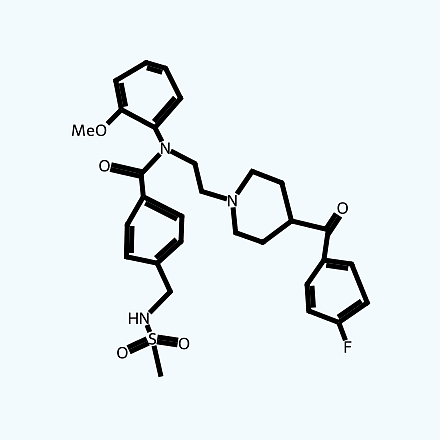 COc1ccccc1N(CCN1CCC(C(=O)c2ccc(F)cc2)CC1)C(=O)c1ccc(CNS(C)(=O)=O)cc1